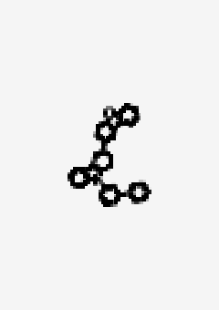 C1=C(c2ccc3oc4ccccc4c3c2)CCc2c1c1ccccc1n2-c1cccc(-c2ccccc2)c1